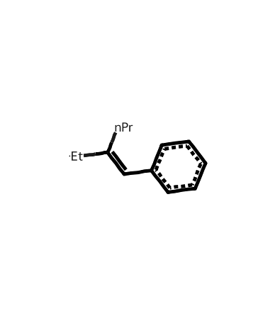 C[CH]C(=Cc1ccccc1)CCC